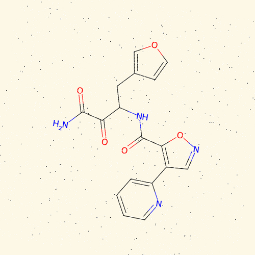 NC(=O)C(=O)C(Cc1ccoc1)NC(=O)c1oncc1-c1ccccn1